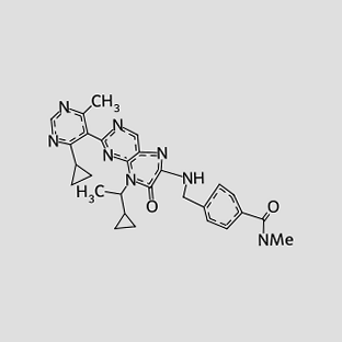 CNC(=O)c1ccc(CNc2nc3cnc(-c4c(C)ncnc4C4CC4)nc3n(C(C)C3CC3)c2=O)cc1